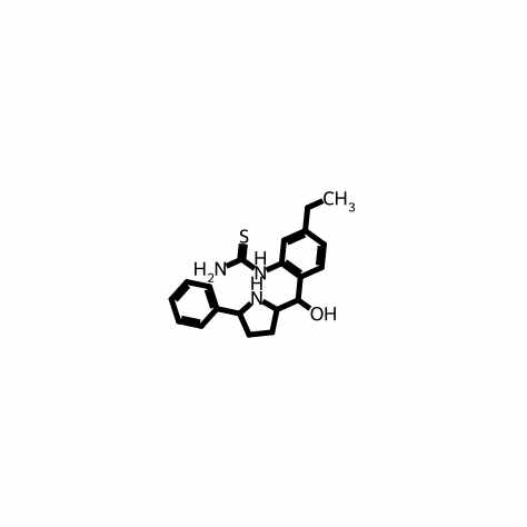 CCc1ccc(C(O)C2CCC(c3ccccc3)N2)c(NC(N)=S)c1